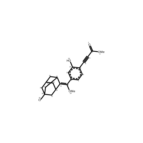 COC(=O)C#Cc1ccc(C(OC)=C2C3CC4CC2CC(Cl)(C4)C3)cc1O